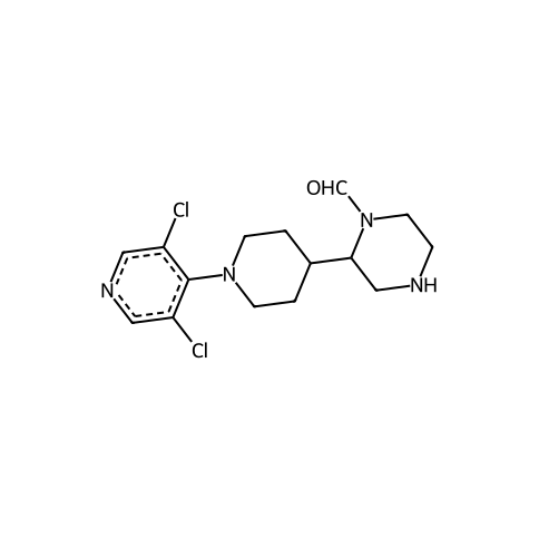 O=CN1CCNCC1C1CCN(c2c(Cl)cncc2Cl)CC1